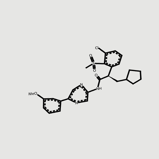 COc1cccc(-c2cnc(NC(=O)[C@H](CC3CCCC3)c3cccc(Cl)c3S(C)(=O)=O)cn2)c1